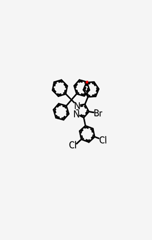 Clc1cc(Cl)cc(-c2nn(C(c3ccccc3)(c3ccccc3)c3ccccc3)c(-c3ccccc3)c2Br)c1